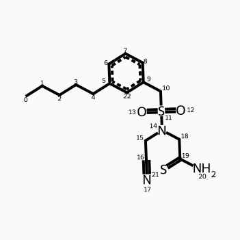 CCCCCc1cccc(CS(=O)(=O)N(CC#N)CC(N)=S)c1